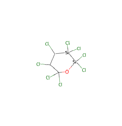 ClC1C(Cl)[Si](Cl)(Cl)[Si](Cl)(Cl)OC1(Cl)Cl